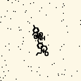 CCCN1C(=O)CCc2cc(CNS(=O)(=O)c3ccc(C)cc3C)ccc21